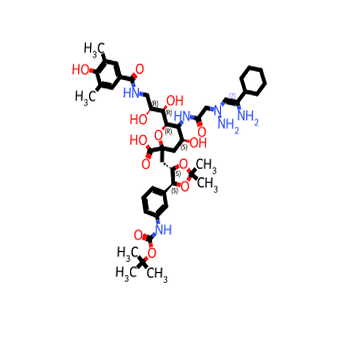 Cc1cc(C(=O)NC[C@@H](O)[C@@H](O)[C@@H]2OC(C[C@@H]3OC(C)(C)O[C@H]3c3cccc(NC(=O)OC(C)(C)C)c3)(C(=O)O)C[C@H](O)C2NC(=O)CN(N)/C=C(\N)C2CCCCC2)cc(C)c1O